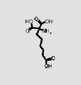 NC(CCCCCC(=O)O)(C(=O)O)C(=O)O